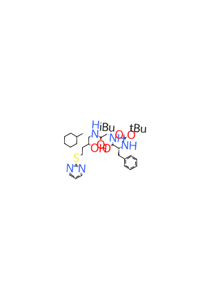 CC[C@H](C)[C@H](NC(=O)[C@H](Cc1ccccc1)NC(=O)OC(C)(C)C)C(=O)N[C@@H](CC1CCCCC1)[C@@H](O)CCSc1ncccn1